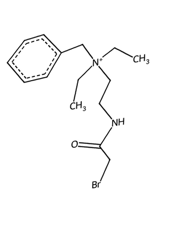 CC[N+](CC)(CCNC(=O)CBr)Cc1ccccc1